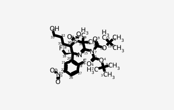 CC(C)(C)OC(=O)N(C(=O)OC(C)(C)C)C1=N[C@](CF)(c2cc([N+](=O)[O-])ccc2F)C(CCCO)S(=O)(=O)C1(C)C